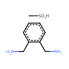 CS(=O)(=O)O.NCc1ccccc1CN